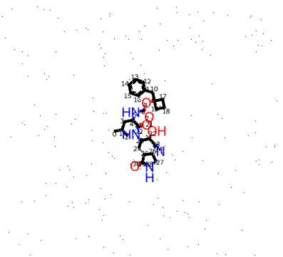 CC(C)CC(NC(=O)OC1(Cc2ccccc2)CCC1)C(=O)NC(C[C@@H]1CCNC1=O)C(O)C#N